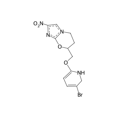 O=[N+]([O-])c1cn2c(n1)OC(COC1=CC=C(Br)CN1)CC2